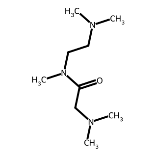 CN(C)CCN(C)C(=O)CN(C)C